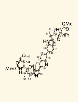 COC(=O)N[C@H](C(=O)N1CCC[C@H]1c1nc2ccc(-c3ccc4cc(-c5cnc([C@@H]6CCCN6C(=O)[C@@H](NC(=O)OC)C6CCOCC6)[nH]5)cnc4c3)cc2[nH]1)C(C)C